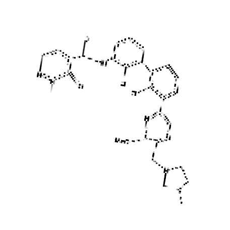 COc1nc(-c2cccc(-c3cccc(NC(=O)c4ccnn(C)c4=O)c3Cl)c2Cl)ccc1CN1CCC(C)C1